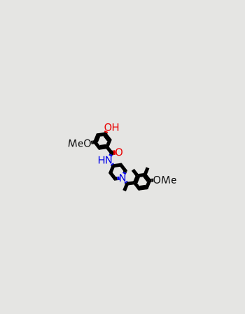 COc1cc(O)cc(C(=O)NC2CCN(C(C)c3ccc(OC)c(C)c3C)CC2)c1